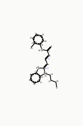 C=C(/C=C/C=C1\Sc2ccccc2N1CCCC)Sc1ccccc1C